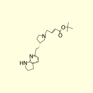 CC(C)(C)OC(=O)/C=C/CN1CC[C@@H](CCc2ccc3c(n2)NCCC3)C1